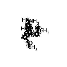 COC(=O)C=Cc1cccc(Oc2c(F)c(Oc3cccc(-c4nccn4C)c3)nc(Oc3cc(C(=N)N)ccc3O)c2F)c1